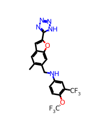 Cc1cc2cc(-c3nnn[nH]3)oc2cc1CNc1ccc(OC(F)(F)F)c(C(F)(F)F)c1